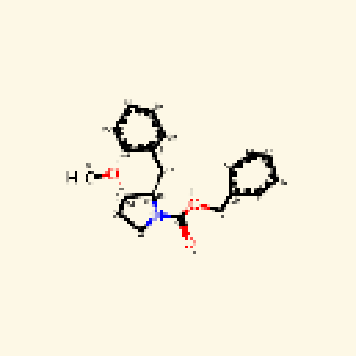 CO[C@H]1CCN(C(=O)OCc2ccccc2)[C@@H]1Cc1ccccc1